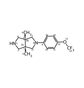 C[C@@]12CNC[C@]1(C)CN(c1ccc(OC(F)(F)F)cc1)C2